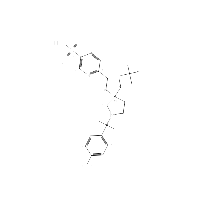 CC1(C)C[C@H]([C@]2(CCc3ccc(S(C)(=O)=O)cn3)CCN(C(C)(C)c3ccc(Cl)cc3)C2)O1